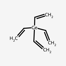 C=[CH][Ge]([CH]=C)([CH]=C)[CH]=C